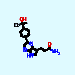 CCC(C)(O)c1ccc(-c2cnc3[nH]cc(C=CC(N)=O)c3n2)cc1